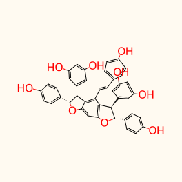 Oc1ccc(/C=C/c2c3c(cc4c2[C@@H](c2cc(O)cc(O)c2)[C@H](c2ccc(O)cc2)O4)O[C@H](c2ccc(O)cc2)[C@@H]3c2cc(O)cc(O)c2)cc1